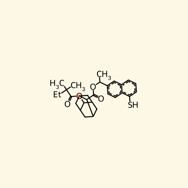 CCC(C)(C)C(=O)OC1C2CC3CC1CC(C2)C3C(=O)OC(C)c1ccc2c(S)cccc2c1